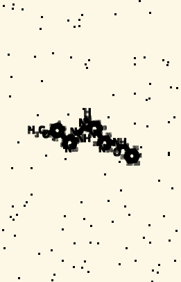 COc1cccc(-c2cncc3[nH]c(-c4n[nH]c5ccc(-c6cncc(NC(=O)Cc7ccccc7)c6)nc45)nc23)c1